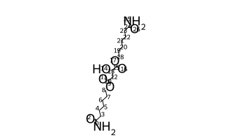 NC(=O)CCCCCCOC(=O)C[C@H](O)C(=O)OCCCCCCC(N)=O